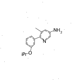 Cc1cc(N)cnc1-c1cccc(OC(C)C)c1